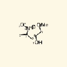 CC(C)[N+](=O)[O-].COCCO